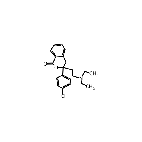 CCN(CC)CCC1(c2ccc(Cl)cc2)Cc2ccccc2C(=O)O1